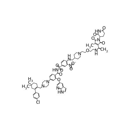 C=C(NCCOCCN1CCC(CNc2ccc(S(=O)(=O)NC(=O)c3ccc(N4CCN(CC5=C(c6ccc(Cl)cc6)CC(C)(C)CC5)CC4)cc3Oc3cnc4[nH]ccc4c3)cc2[N+](=O)[O-])CC1)C1=C(C)C(=O)N(C2CCC(=O)NC2=O)C1=O